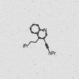 CCCC#Cc1cnc2ccccc2c1CCC(C)C